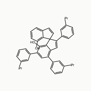 CC(C)c1cccc(C2=Cc3c(-c4cccc(C(C)C)c4)cc(-c4cccc(C(C)C)c4)c(O)c3C23C=Cc2cccc(O)c23)c1